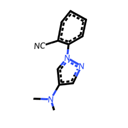 CN(C)c1cnn(-c2ccccc2C#N)c1